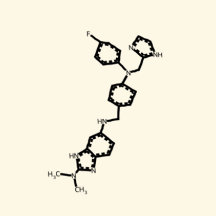 CN(C)c1nc2ccc(NCc3ccc(N(Cc4ncc[nH]4)c4ccc(F)cc4)cc3)cc2[nH]1